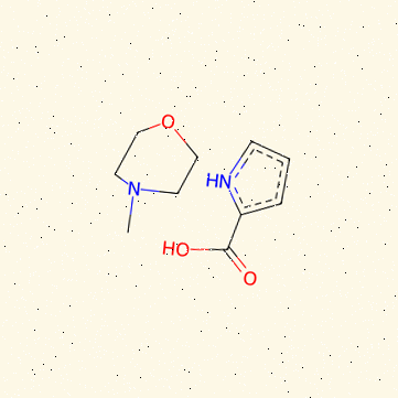 CN1CCOCC1.O=C(O)c1ccc[nH]1